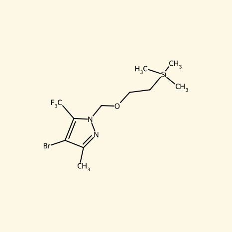 Cc1nn(COCC[Si](C)(C)C)c(C(F)(F)F)c1Br